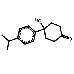 CC(C)c1ccc(C2(O)CCC(=O)CC2)cc1